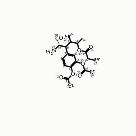 CCC(=O)Oc1ccc(C(C(C)C(C)OC(=O)CC(C)C)[C@H](N)C(=O)O)cc1OC(=O)CC